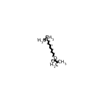 C=C(C)C(=O)OCCCCCCCCN(C)C